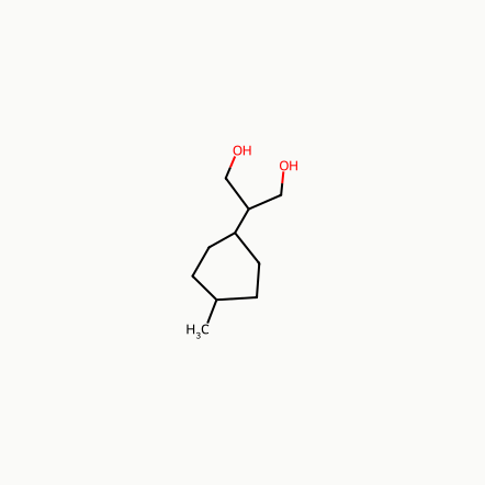 CC1CCC(C(CO)CO)CC1